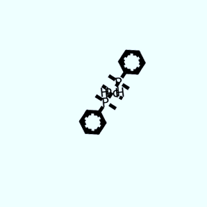 C[PH](C)(c1ccccc1)[Pd]([CH3])([CH3])[PH](C)(C)c1ccccc1